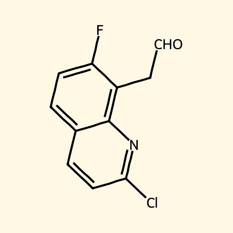 O=CCc1c(F)ccc2ccc(Cl)nc12